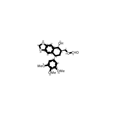 COc1cc([C@H]2C[C@H](COC=O)[C@@H](O)c3cc4c(cc32)OCO4)cc(OC)c1OC